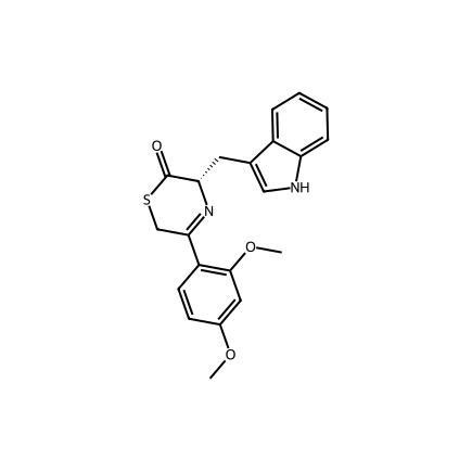 COc1ccc(C2=N[C@@H](Cc3c[nH]c4ccccc34)C(=O)SC2)c(OC)c1